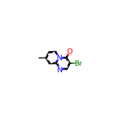 Cc1ccn2c(=O)c(Br)cnc2c1